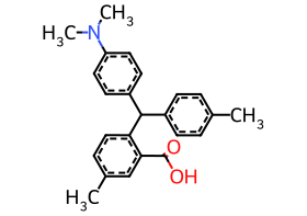 Cc1ccc(C(c2ccc(N(C)C)cc2)c2ccc(C)cc2C(=O)O)cc1